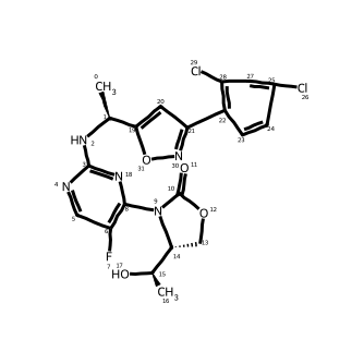 C[C@H](Nc1ncc(F)c(N2C(=O)OC[C@@H]2[C@@H](C)O)n1)c1cc(-c2ccc(Cl)cc2Cl)no1